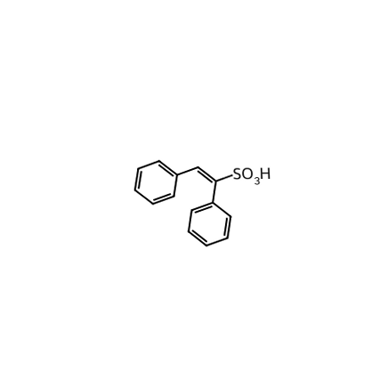 O=S(=O)(O)C(=Cc1ccccc1)c1ccccc1